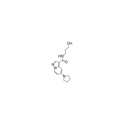 O=C(NCCCO)c1cnn2ccc(N3CCCC3)cc12